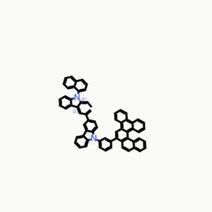 C=C(/C=c1\c(=C/C)n(-c2cccc3ccccc23)c2ccccc12)c1ccc2c(c1)c1ccccc1n2-c1cccc(-c2cc3c4ccccc4c4ccccc4c3c3c2ccc2ccccc23)c1